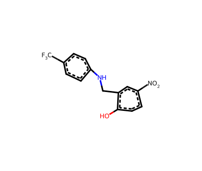 O=[N+]([O-])c1ccc(O)c(CNc2ccc(C(F)(F)F)cc2)c1